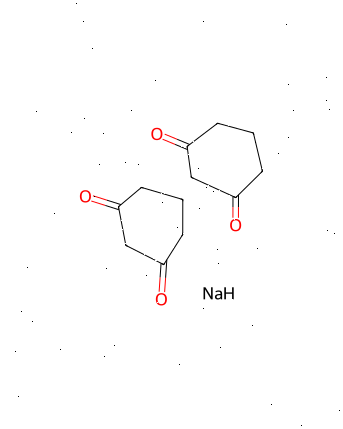 O=C1CCCC(=O)C1.O=C1CCCC(=O)C1.[NaH]